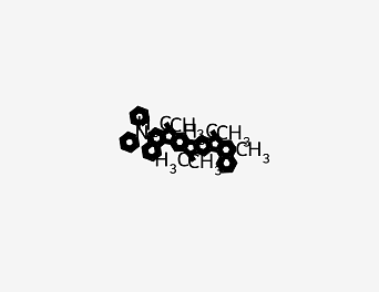 Cc1cc2c(c3ccccc13)-c1cc3c(cc1C2(C)C)-c1cc2c(cc1C3(C)C)-c1c(cc(N(c3ccccc3)c3ccccc3)c3ccccc13)C2(C)C